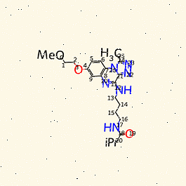 COCCOc1ccc2c(c1)nc(NCCCCNC(=O)C(C)C)c1nnc(C)n12